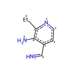 CCc1nccc(C=N)c1N